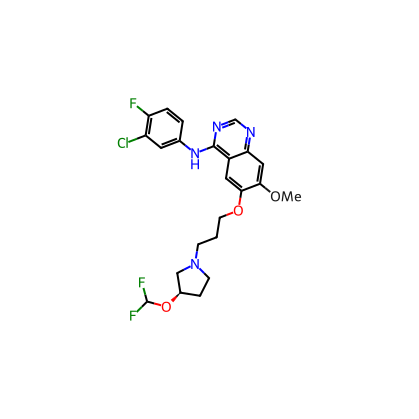 COc1cc2ncnc(Nc3ccc(F)c(Cl)c3)c2cc1OCCCN1CC[C@@H](OC(F)F)C1